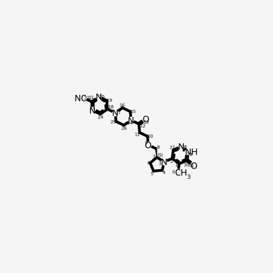 Cc1c(N2CCC[C@H]2COCCC(=O)N2CCN(c3cnc(C#N)nc3)CC2)cn[nH]c1=O